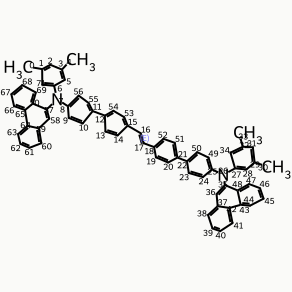 Cc1cc(C)cc(N(c2ccc(-c3ccc(/C=C/c4ccc(-c5ccc(N(c6cc(C)cc(C)c6)c6cc7ccccc7c7ccccc67)cc5)cc4)cc3)cc2)c2cc3ccccc3c3ccccc23)c1